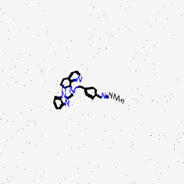 CN/C=N/Cc1ccc(CN(Cc2nc3ccccc3[nH]2)C2CCCc3cccnc32)cc1